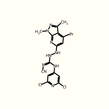 Cc1nn(C)c2nc(NN/C(=N/C#N)Nc3cc(Cl)nc(Cl)c3)cc(C(C)C)c12